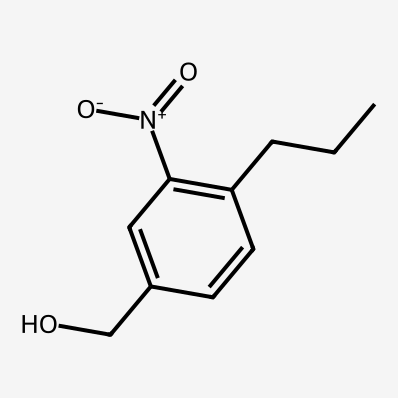 CCCc1ccc(CO)cc1[N+](=O)[O-]